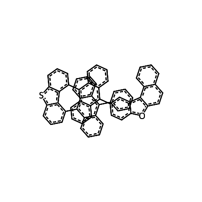 c1ccc2c(-c3cccc4sc5cccc(-c6c7ccccc7c(-c7ccc8oc9ccc%10ccccc%10c9c8c7)c7ccccc67)c5c34)c3ccccc3c(-c3ccccc3)c2c#1